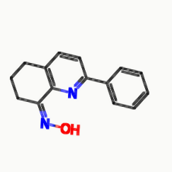 O/N=C1/CCCc2ccc(-c3ccccc3)nc21